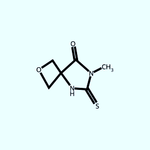 CN1C(=O)C2(COC2)NC1=S